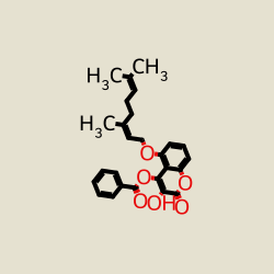 CC(C)=CCCC(C)=CCOc1cccc2oc(=O)c(O)c(OC(=O)c3ccccc3)c12